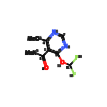 CNC(=O)c1c(OC)ncnc1OC(F)F